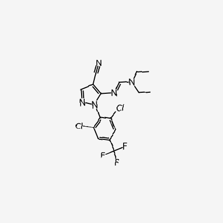 CCN(C=Nc1c(C#N)cnn1-c1c(Cl)cc(C(F)(F)F)cc1Cl)CC